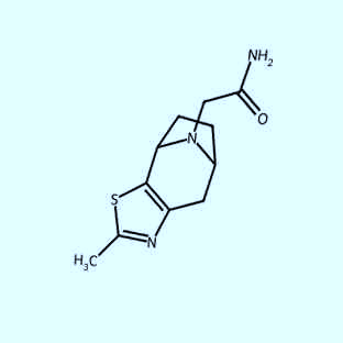 Cc1nc2c(s1)C1CCC(C2)N1CC(N)=O